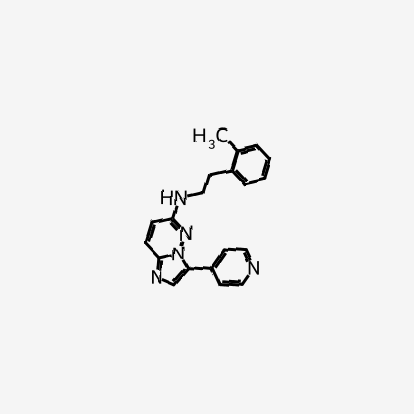 Cc1ccccc1CCNc1ccc2ncc(-c3ccncc3)n2n1